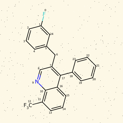 Fc1cccc(Cc2cnc3c(C(F)(F)F)cccc3c2-c2ccccc2)c1